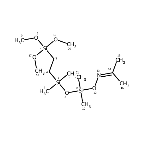 CO[Si](CC[Si](C)(C)O[Si](C)(C)ON=C(C)C)(OC)OC